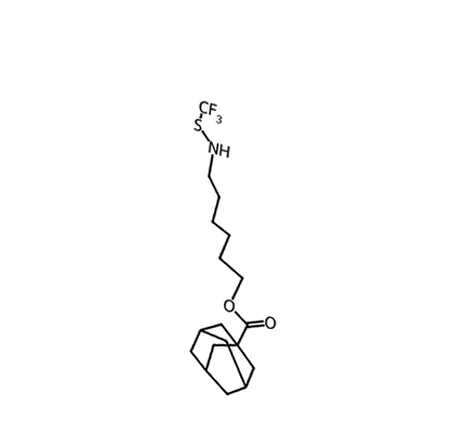 O=C(OCCCCCCNSC(F)(F)F)C12CC3CC(CC(C3)C1)C2